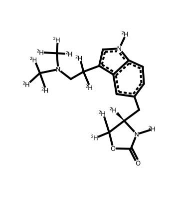 [2H]N1C(=O)OC([2H])([2H])[C@]1([2H])Cc1ccc2c(c1)c(C([2H])([2H])CN(C([2H])([2H])[2H])C([2H])([2H])[2H])cn2[2H]